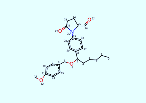 CCCCCC(OCc1ccc(OC)cc1)c1ccc(N2C(=O)CC[C@@H]2C=O)cc1